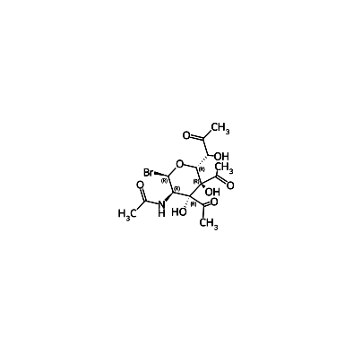 CC(=O)N[C@H]1[C@@H](Br)O[C@H](C(O)C(C)=O)[C@](O)(C(C)=O)[C@@]1(O)C(C)=O